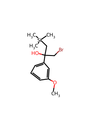 COc1cccc(C(O)(CBr)C[Si](C)(C)C)c1